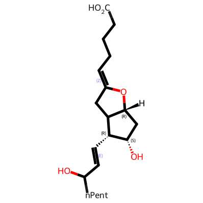 CCCCCC(O)/C=C/[C@@H]1C2C/C(=C/CCCC(=O)O)O[C@@H]2C[C@@H]1O